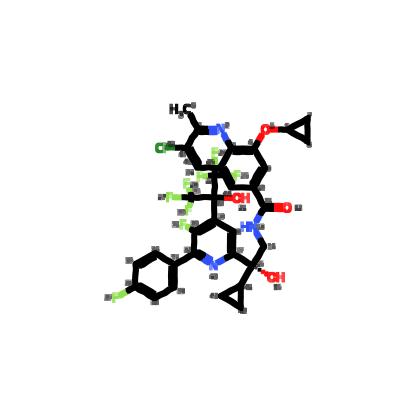 Cc1nc2c(OC3CC3)cc(C(=O)NC[C@](O)(c3cc(C(O)(C(F)(F)F)C(F)(F)F)c(F)c(-c4ccc(F)cc4)n3)C3CC3)cc2cc1Cl